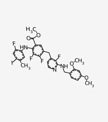 COC(=O)c1cc(Cc2ccnc(NCc3ccc(OC)cc3OC)c2F)c(F)c(F)c1Nc1cc(C)c(I)cc1F